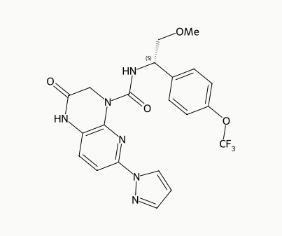 COC[C@@H](NC(=O)N1CC(=O)Nc2ccc(-n3cccn3)nc21)c1ccc(OC(F)(F)F)cc1